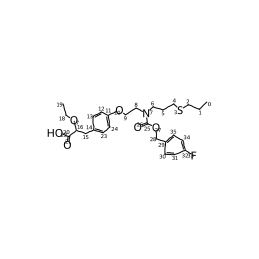 CCCSCCCN(CCOc1ccc(CC(OCC)C(=O)O)cc1)C(=O)OCc1ccc(F)cc1